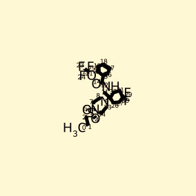 CCCS(=O)(=O)N1CCN(C2(CNC(=O)c3ccccc3OC(F)(F)F)CCC(F)(F)CC2)CC1